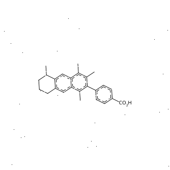 Cc1c(-c2ccc(C(=O)O)cc2)c(C)c2cc3c(cc2c1C)C(C)CCC3